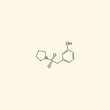 O=S(=O)(Cc1cccc(O)c1)N1CCCC1